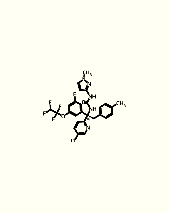 Cc1ccc(C[C@](NC(=O)Nc2ccn(C)n2)(c2cc(F)cc(OC(F)(F)C(F)F)c2)c2ccc(Cl)cn2)cc1